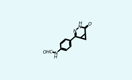 O=CNc1ccc(C2=NNC(=O)C3CC23)cc1